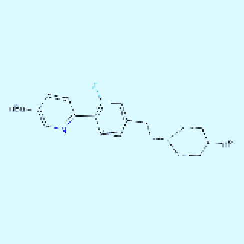 CCCCc1ccc(-c2ccc(CCC3CCC(CCC)CC3)cc2F)nc1